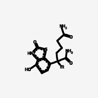 CCC(CCCC(N)=O)(C(N)=O)c1ccc(O)c2[nH]c(=O)sc12